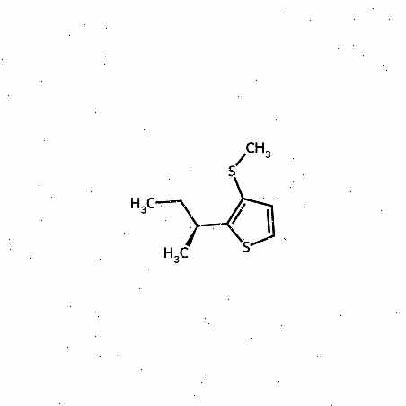 CC[C@H](C)c1sccc1SC